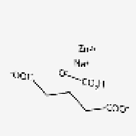 O=C([O-])CCCC(=O)[O-].O=C([O-])O.[Na+].[Zn+2]